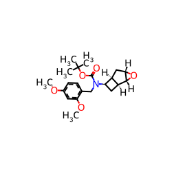 COc1ccc(CN(C(=O)OC(C)(C)C)[C@@H]2C[C@H]3[C@@H]2C[C@@H]2O[C@H]32)c(OC)c1